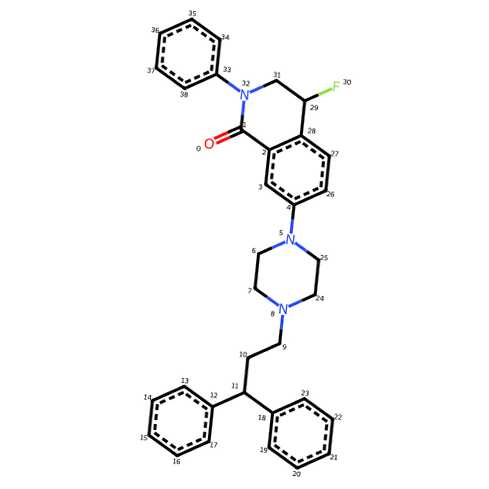 O=C1c2cc(N3CCN(CCC(c4ccccc4)c4ccccc4)CC3)ccc2C(F)CN1c1ccccc1